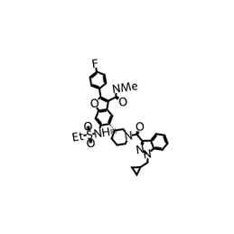 CCS(=O)(=O)Nc1cc2oc(-c3ccc(F)cc3)c(C(=O)NC)c2cc1[C@H]1CCCN(C(=O)c2nn(CC3CC3)c3ccccc23)C1